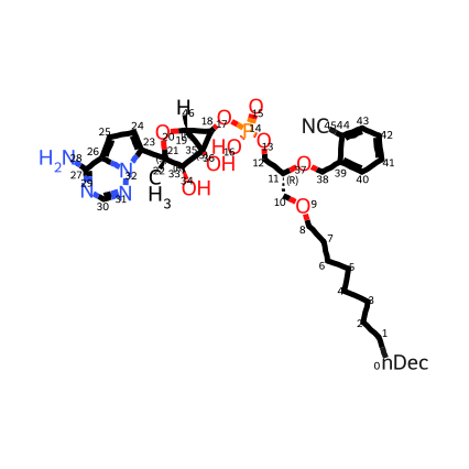 CCCCCCCCCCCCCCCCCCOC[C@H](COP(=O)(O)OC1[C@H]2O[C@@](C)(c3ccc4c(N)ncnn34)[C@H](O)[C@@]12O)OCc1ccccc1C#N